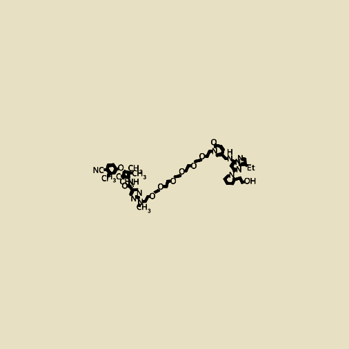 CCc1cnn2c(NCc3ccc(=O)n(CCOCCOCCOCCOCCOCCOCCN(C)c4ncc(C(=O)NC5C(C)(C)C(Oc6ccc(C#N)c(Cl)c6)C5(C)C)cn4)c3)cc(N3CCCCC3CCO)nc12